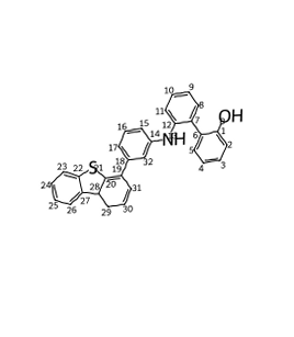 Oc1ccccc1-c1ccccc1Nc1cccc(C2=C3Sc4ccccc4C3CC=C2)c1